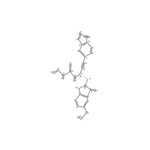 COc1ccc2c(c1)C(=O)N(C[C@@H](C#Cc1ccc3[nH]ncc3c1)NC(=O)NC=O)C2